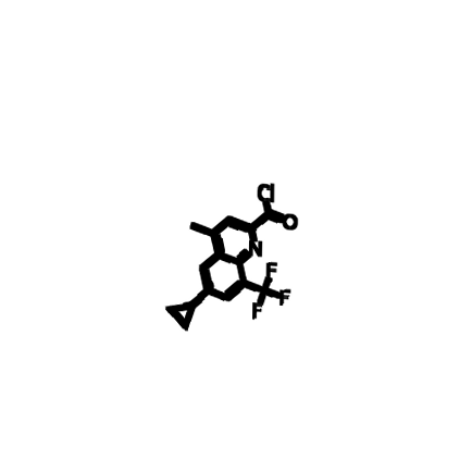 Cc1cc(C(=O)Cl)nc2c(C(F)(F)F)cc(C3CC3)cc12